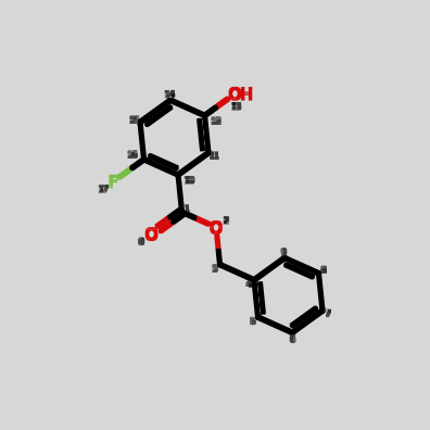 O=C(OCc1ccccc1)c1cc(O)ccc1F